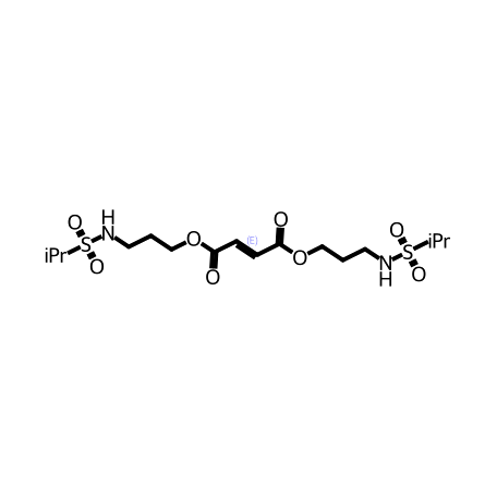 CC(C)S(=O)(=O)NCCCOC(=O)/C=C/C(=O)OCCCNS(=O)(=O)C(C)C